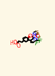 O=C(O)CCc1ccc(O)c(-c2ccc(C(F)(F)F)nc2CN2CCSC2=O)c1